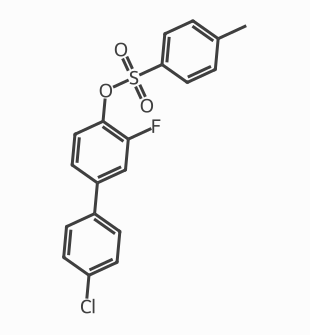 Cc1ccc(S(=O)(=O)Oc2ccc(-c3ccc(Cl)cc3)cc2F)cc1